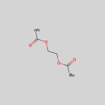 CCCC(=O)OCCOC(=O)C(C)CC